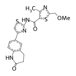 COCc1nc(C)c(C(=O)Nc2nc(-c3ccc4c(c3)CCC(=O)N4)cs2)s1